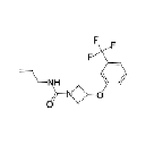 C=CCNC(=O)N1CC(Oc2cccc(C(F)(F)F)c2)C1